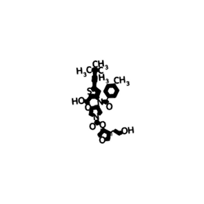 CC(C)(C)C#Cc1cc(N(C(=O)[C@H]2CC[C@H](C)CC2)[C@H]2CCN(C(=O)O[C@H]3COC[C@H]3CCO)C2)c(C(=O)O)s1